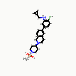 CS(=O)(=O)N1CCC(N2C=Cc3cc(-c4ccc(F)c(NCC5CC5)c4)ccc3C2)CC1